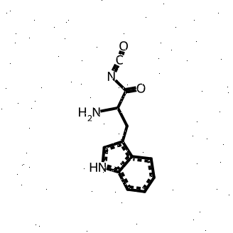 NC(Cc1c[nH]c2ccccc12)C(=O)N=C=O